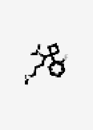 COCCCC(N(C)C)C1(c2ccccc2F)CCC1